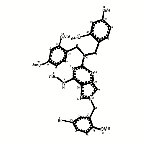 CCCCNc1nc(N(Cc2ccc(OC)cc2OC)Cc2ccc(OC)cc2OC)nc2cn(Cc3cc(Br)ccc3OC)nc12